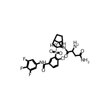 NC(=O)CC(N)C(=O)NC[C@]1(O)C2CCC1C[C@@H](S(=O)(=O)c1cc(C(=O)Nc3cc(F)c(F)c(F)c3)ccc1Cl)C2